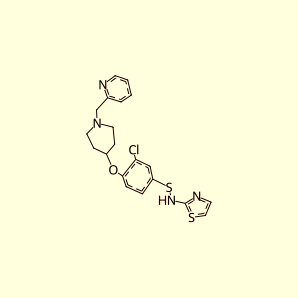 Clc1cc(SNc2nccs2)ccc1OC1CCN(Cc2ccccn2)CC1